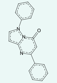 O=c1cc(-c2ccccc2)nc2ccn(-c3ccccc3)n12